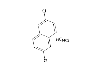 Cl.Cl.Clc1ccc2cc(Cl)ccc2c1